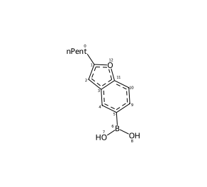 CCCCCc1cc2cc(B(O)O)ccc2o1